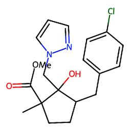 COC(=O)C1(C)CCC(Cc2ccc(Cl)cc2)C1(O)Cn1cccn1